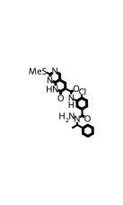 CSc1ncc2cc(C(=O)Nc3cc(C(=O)N(N)C(C)c4ccccc4)ccc3Cl)c(=O)[nH]c2n1